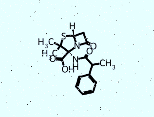 CC(C(=O)N[C@@]1(C(=O)O)N2C(=O)C[C@H]2SC1(C)C)c1ccccc1